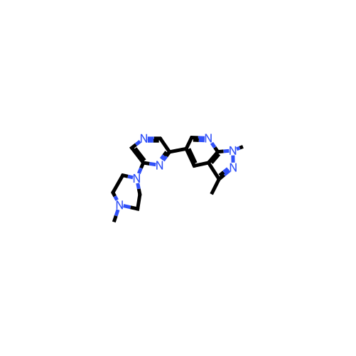 Cc1nn(C)c2ncc(-c3cncc(N4CCN(C)CC4)n3)cc12